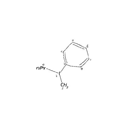 CCCI(C)c1ccccc1